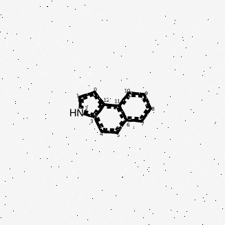 [c]1c[nH]c2ccc3ccccc3c12